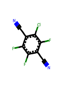 N#Cc1c(F)c(F)c(C#N)c(Cl)c1F